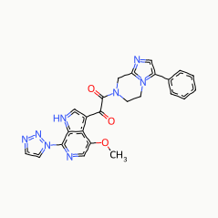 COc1cnc(-n2ccnn2)c2[nH]cc(C(=O)C(=O)N3CCn4c(-c5ccccc5)cnc4C3)c12